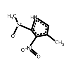 Cc1c[nH]c([S+](C)[O-])c1[N+](=O)[O-]